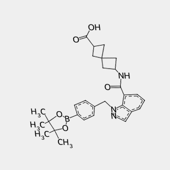 CC1(C)OB(c2ccc(Cn3ncc4cccc(C(=O)NC5CC6(C5)CC(C(=O)O)C6)c43)cc2)OC1(C)C